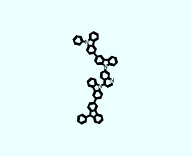 c1ccc(C2c3ccccc3-c3cc(-c4ccc5c(c4)c4ccccc4n5-c4ccnc5cc(-n6c7ccccc7c7cc(-c8ccc9c(c8)c8ccccc8n9-c8ccccc8)ccc76)ccc45)ccc32)cc1